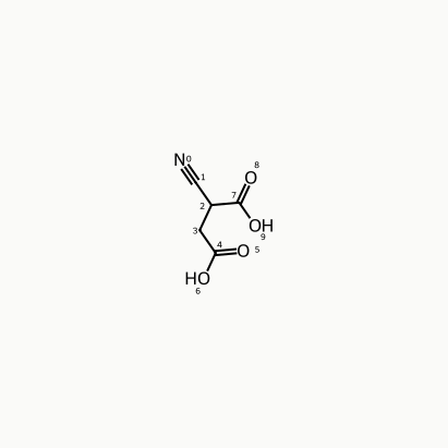 N#CC(CC(=O)O)C(=O)O